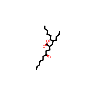 CCCCCCC(=O)CCC(CC(CCCC)CCCCCC)C(=O)O